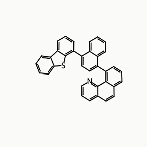 c1cnc2c(c1)ccc1cccc(-c3ccc(-c4cccc5c4sc4ccccc45)c4ccccc34)c12